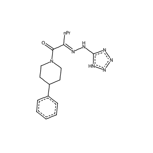 CCCC(=NNc1nnn[nH]1)C(=O)N1CCC(c2ccccc2)CC1